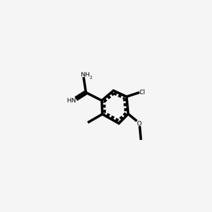 COc1cc(C)c(C(=N)N)cc1Cl